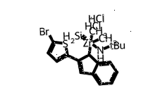 CC(C)(C)[NH][Zr]([CH3])([CH3])(=[SiH2])[CH]1C(c2ccc(Br)s2)=Cc2ccccc21.Cl.Cl